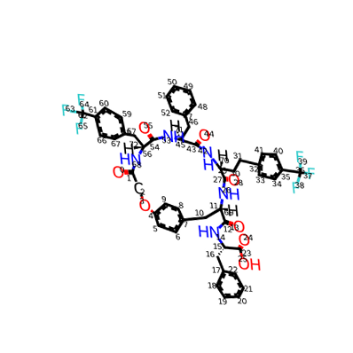 O=C1COc2ccc(cc2)C[C@@H](C(=O)N[C@@H](Cc2ccccc2)C(=O)O)NC(=O)[C@@H](CCc2ccc(C(F)(F)F)cc2)NC(=O)[C@H](Cc2ccccc2)NC(=O)[C@@H](Cc2ccc(C(F)(F)F)cc2)N1